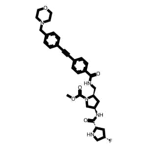 COC(=O)N1C[C@H](NC(=O)[C@@H]2C[C@H](F)CN2)C[C@@H]1CNC(=O)c1ccc(C#Cc2ccc(CN3CCOCC3)cc2)cc1